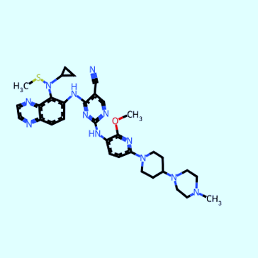 COc1nc(N2CCC(N3CCN(C)CC3)CC2)ccc1Nc1ncc(C#N)c(Nc2ccc3nccnc3c2N(SC)C2CC2)n1